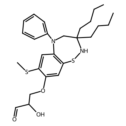 CCCCC1(CCCC)CN(c2ccccc2)c2cc(SC)c(OCC(O)C=O)cc2SN1